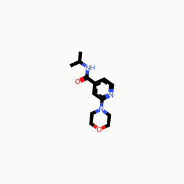 CC(C)NC(=O)c1ccnc(N2CCOCC2)c1